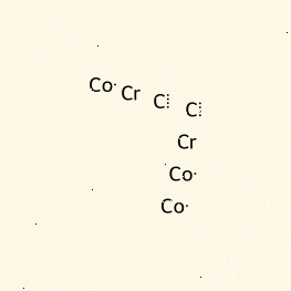 [C].[C].[Co].[Co].[Co].[Cr].[Cr]